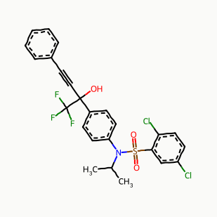 CC(C)N(c1ccc(C(O)(C#Cc2ccccc2)C(F)(F)F)cc1)S(=O)(=O)c1cc(Cl)ccc1Cl